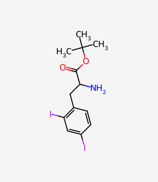 CC(C)(C)OC(=O)C(N)Cc1ccc(I)cc1I